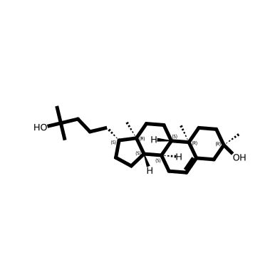 CC(C)(O)CCC[C@H]1CC[C@H]2[C@@H]3CC=C4C[C@](C)(O)CC[C@]4(C)[C@H]3CC[C@]12C